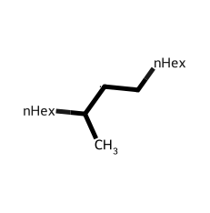 CCCCCCC[CH]C(C)CCCCCC